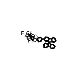 O=S(=O)(Oc1ccc(-c2ccc3c(c2)C(c2ccccc2)(c2ccccc2)c2ccccc2-3)cc1)C(F)(F)C(F)(F)C(F)(F)C(F)(F)F